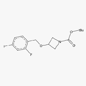 CC(C)(C)OC(=O)N1CC(OCc2ccc(I)cc2F)C1